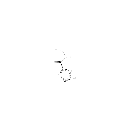 NNC(=O)c1nc[nH]n1